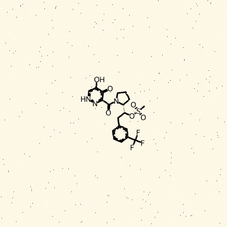 CS(=O)(=O)OC(Cc1cccc(C(F)(F)F)c1)[C@H]1CCCN1C(=O)c1n[nH]cc(O)c1=O